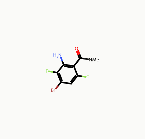 CNC(=O)c1c(F)cc(Br)c(F)c1N